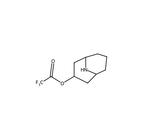 O=C(OC1CC2CCCC(C1)N2)C(F)(F)F